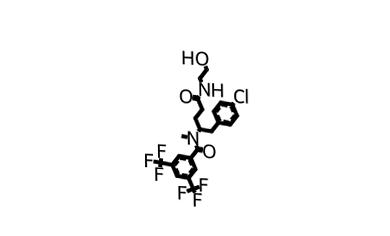 CN(C(=O)c1cc(C(F)(F)F)cc(C(F)(F)F)c1)C(CCC(=O)NCCO)Cc1ccc(Cl)cc1